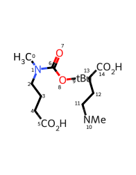 CN(CCCC(=O)O)C(=O)OC(C)(C)C.CNCCCC(=O)O